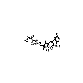 CON(C)C(=O)C(O)CNOCc1c(C)[nH]c(/C=C2\C(=O)Nc3ccc(F)cc32)c1C